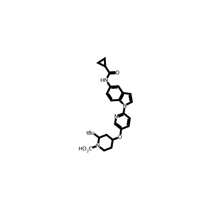 CC(C)(C)C1CC(Oc2ccc(-n3ccc4cc(NC(=O)C5CC5)ccc43)nc2)CCN1C(=O)O